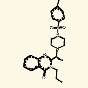 CCCn1c(C(C)N2CCN(S(=O)(=O)c3ccc(Cl)cc3)CC2)nc2ccccc2c1=O